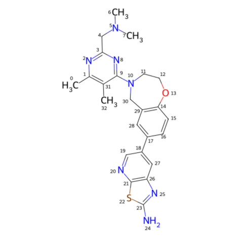 Cc1nc(CN(C)C)nc(N2CCOc3ccc(-c4cnc5sc(N)nc5c4)cc3C2)c1C